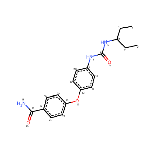 CCC(CC)NC(=O)Nc1ccc(Oc2ccc(C(N)=O)cc2)cc1